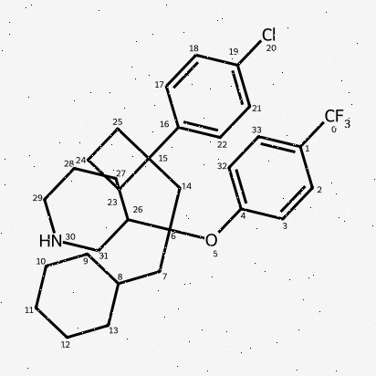 FC(F)(F)c1ccc(OC(CC2CCCCC2)(CC2(c3ccc(Cl)cc3)CCC2)C2CCCNC2)cc1